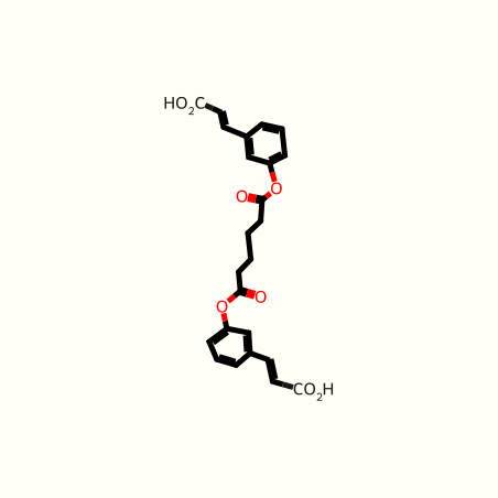 O=C(O)/C=C/c1cccc(OC(=O)CCCCC(=O)Oc2cccc(/C=C/C(=O)O)c2)c1